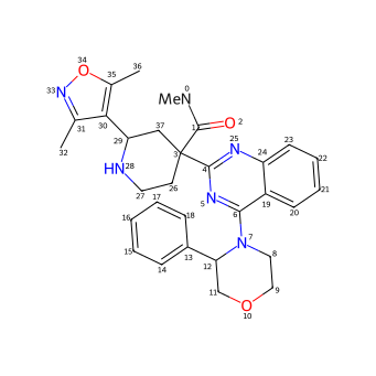 CNC(=O)C1(c2nc(N3CCOCC3c3ccccc3)c3ccccc3n2)CCNC(c2c(C)noc2C)C1